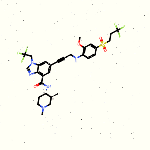 COc1cc(S(=O)(=O)CCC(F)(F)F)ccc1NCC#Cc1cc(C(=O)N[C@H]2CCN(C)C[C@@H]2C)c2ncn(CC(F)(F)F)c2c1